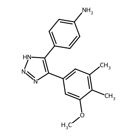 COc1cc(-c2nn[nH]c2-c2ccc(N)cc2)cc(C)c1C